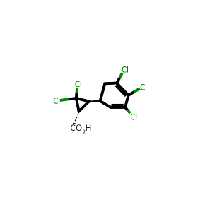 O=C(O)[C@H]1[C@H](C2C=C(Cl)C(Cl)=C(Cl)C2)C1(Cl)Cl